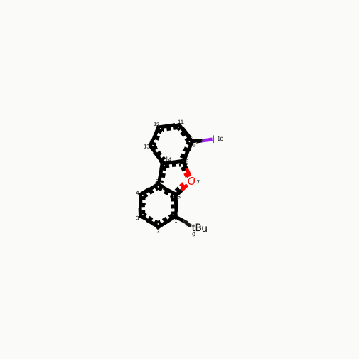 CC(C)(C)c1cccc2c1oc1c(I)cccc12